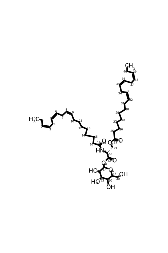 CC/C=C\C/C=C\C/C=C\CCCCCCCC(=O)N[C@H](COC(=O)CCCCCCC/C=C\C/C=C\C/C=C\CC)C(=O)OC1OC(CO)C(O)C(O)C1O